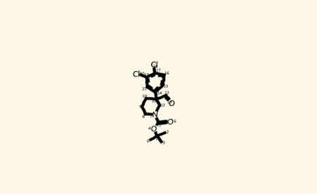 CC(C)(C)OC(=O)N1CCCC(C=O)(c2ccc(Cl)c(Cl)c2)C1